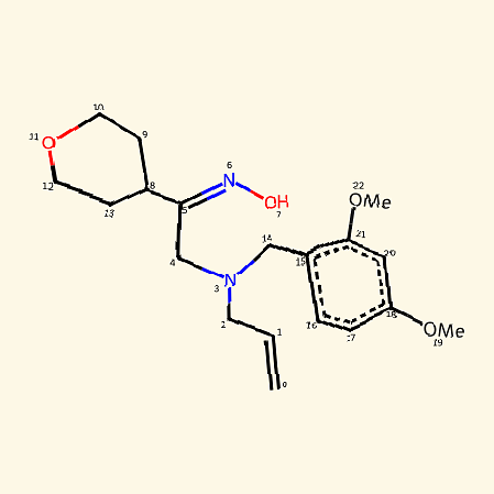 C=CCN(CC(=NO)C1CCOCC1)Cc1ccc(OC)cc1OC